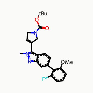 COc1cccc(F)c1-c1ccc2c(C3=CCN(C(=O)OC(C)(C)C)C3)n(C)nc2c1